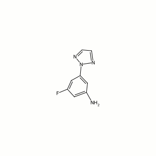 Nc1cc(F)cc(-n2nccn2)c1